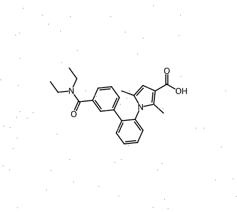 CCN(CC)C(=O)c1cccc(-c2ccccc2-n2c(C)cc(C(=O)O)c2C)c1